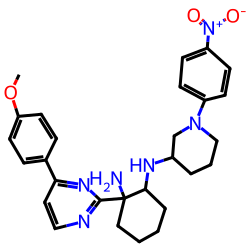 COc1ccc(-c2ccnc(C3(N)CCCCC3NC3CCCN(c4ccc([N+](=O)[O-])cc4)C3)n2)cc1